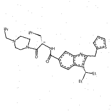 CCC(CC)n1c(Cc2cccs2)nc2cc(C(=O)N[C@@H](CC(C)C)C(=O)N3CCN(CC(C)C)CC3)ccc21